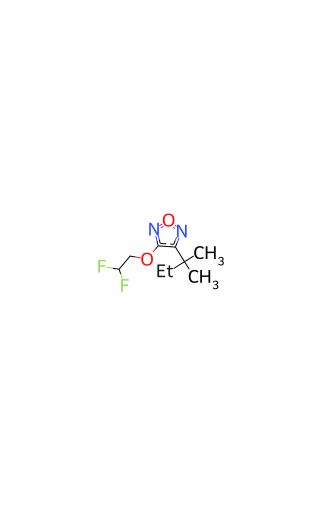 CCC(C)(C)c1nonc1OCC(F)F